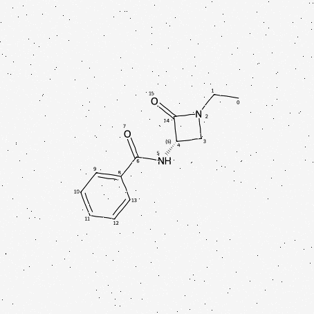 CCN1C[C@H](NC(=O)c2ccccc2)C1=O